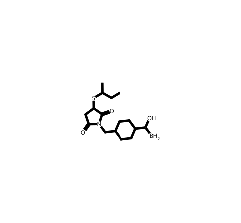 BC(O)C1CCC(CN2C(=O)CC(SC(C)CC)C2=O)CC1